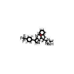 Cc1nc(C(C)(Cc2ccccc2)c2ccnc3c(-c4ccc(C(F)(F)F)cc4)cnn23)n[nH]1